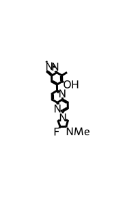 CNC1CN(c2ccc3nc(-c4cc5cn(C)nc5c(C)c4O)ccc3n2)CC1F